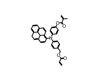 C=CC(=O)OCc1ccc(N(C2=C3C=Cc4cccc5c4C3C(=CC5)C=C2)c2ccc(OC(=O)C(=C)C)cc2)cc1